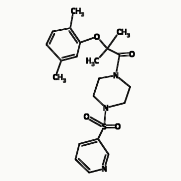 Cc1ccc(C)c(OC(C)(C)C(=O)N2CCN(S(=O)(=O)c3cccnc3)CC2)c1